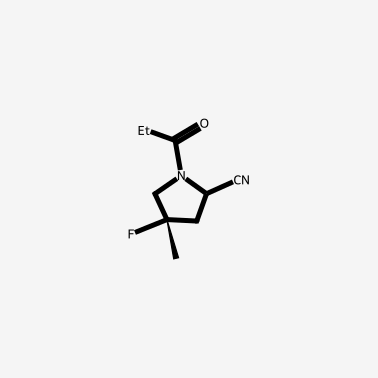 CCC(=O)N1C[C@@](C)(F)CC1C#N